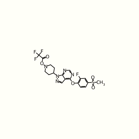 CS(=O)(=O)c1ccc(Oc2ncnc3c2cnn3C2CCN(OC(=O)C(F)(F)F)CC2)c(F)c1